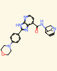 O=C(NC1CN2C#CC1CC2)c1ccnc2[nH]c(-c3ccc(N4CCOCC4)cc3)nc12